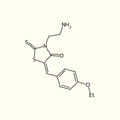 CCOc1ccc(C=C2SC(=S)N(CCN)C2=O)cc1